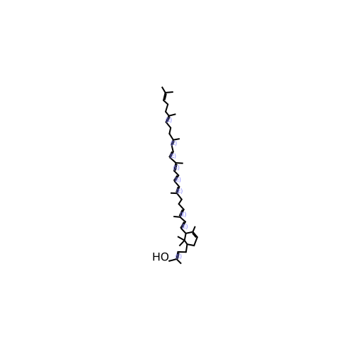 CC(C)=CCC/C(C)=C/CC/C(C)=C/C=C/C(C)=C/C=C/C=C(\C)CC/C=C(C)/C=C/C1C(C)=CCC(C/C=C(\C)CO)C1(C)C